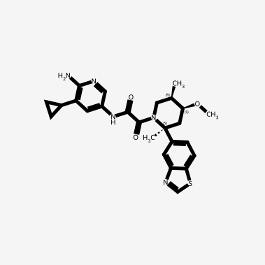 CO[C@H]1C[C@@](C)(c2ccc3scnc3c2)N(C(=O)C(=O)Nc2cnc(N)c(C3CC3)c2)C[C@H]1C